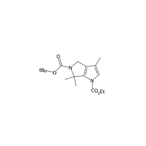 CCOC(=O)n1cc(C)c2c1C(C)(C)N(C(=O)OC(C)(C)C)C2